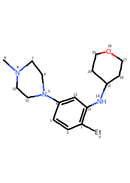 CCc1ccc(N2CCN(C)CC2)cc1NC1CCOCC1